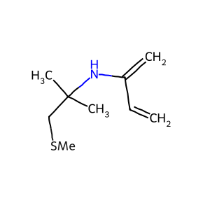 C=CC(=C)NC(C)(C)CSC